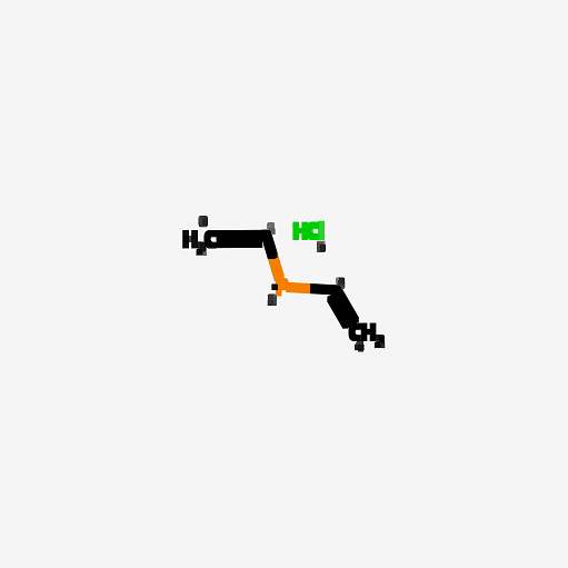 C=C[P]C=C.Cl